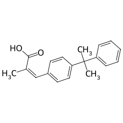 CC(=Cc1ccc(C(C)(C)c2ccccc2)cc1)C(=O)O